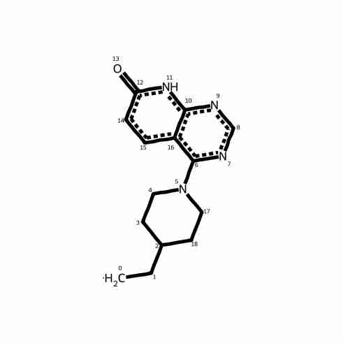 [CH2]CC1CCN(c2ncnc3[nH]c(=O)ccc23)CC1